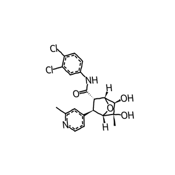 Cc1cc([C@H]2[C@H](C(=O)Nc3ccc(Cl)c(Cl)c3)[C@H]3O[C@@H]2[C@@](C)(O)[C@@H]3O)ccn1